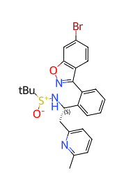 Cc1cccc(C[C@H](N[S+]([O-])C(C)(C)C)c2ccccc2-c2noc3cc(Br)ccc23)n1